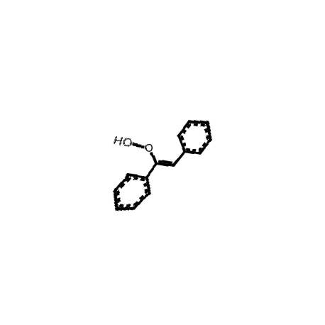 OOC(=Cc1ccccc1)c1ccccc1